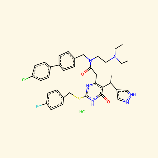 CCN(CC)CCN(Cc1ccc(-c2ccc(Cl)cc2)cc1)C(=O)Cc1nc(SCc2ccc(F)cc2)[nH]c(=O)c1C(C)c1cn[nH]c1.Cl